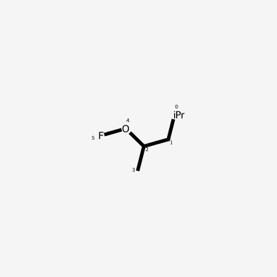 CC(C)CC(C)OF